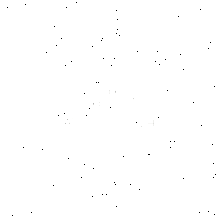 [CaH+].[OH-].[O]=[AlH].[O]=[Y]